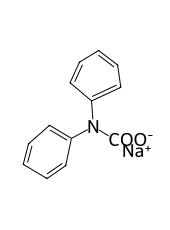 O=C([O-])N(c1ccccc1)c1ccccc1.[Na+]